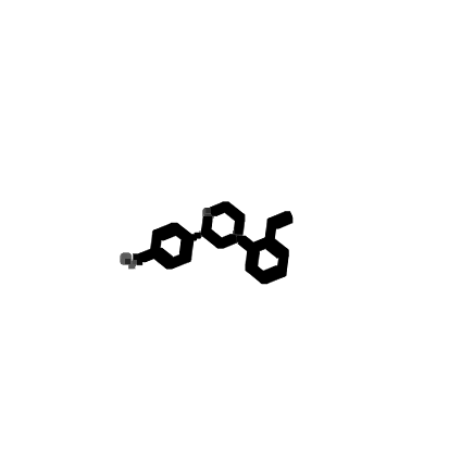 C=Cc1ccccc1N1CCO[C@@H](c2ccc([N+](=O)[O-])cc2)C1